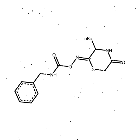 CCCCC1NC(=O)CSC1=NOC(=O)NCc1ccccc1